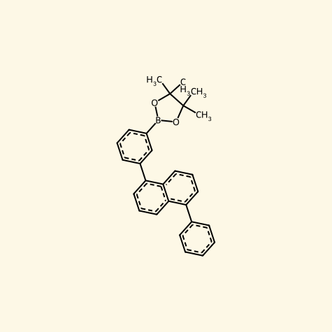 CC1(C)OB(c2cccc(-c3cccc4c(-c5ccccc5)cccc34)c2)OC1(C)C